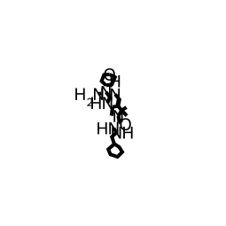 CC1(C)C2=CNC(N(N)C3CCOCC3)NC2CN1C(=O)NNCC1CCCCC1